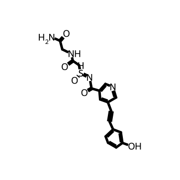 NC(=O)CNC(=O)C/[SH](=O)=N/C(=O)c1cncc(C#Cc2cccc(O)c2)c1